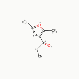 Cc1cc(C(=O)CC#N)c(C(F)(F)F)o1